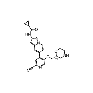 N#Cc1cc(-c2ccn3nc(NC(=O)C4CC4)cc3c2)c(OC[C@H]2CNCCO2)cn1